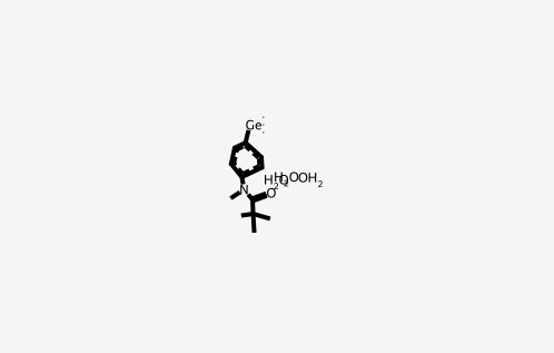 CN(C(=O)C(C)(C)C)c1cc[c]([Ge])cc1.O.O.O